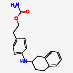 NC(=O)OCCc1ccc(NC2CCc3ccccc3C2)cc1